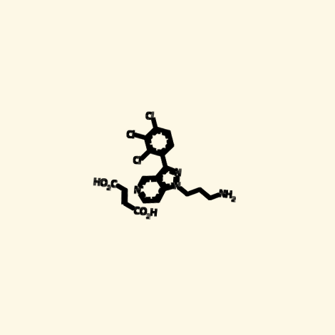 NCCCn1nc(-c2ccc(Cl)c(Cl)c2Cl)c2cnccc21.O=C(O)C=CC(=O)O